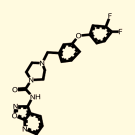 O=C(Nc1noc2ncccc12)N1CCN(Cc2cccc(Oc3ccc(F)c(F)c3)c2)CC1